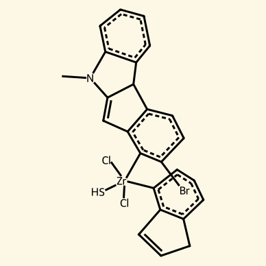 CN1C2=Cc3c(ccc(Br)[c]3[Zr]([SH])([Cl])([Cl])[c]3cccc4c3C=CC4)C2c2ccccc21